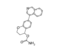 NC(=O)OC1CCOc2cc(-c3cncc4ccccc34)ccc21